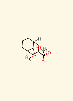 COC1(OC)[C@@H]2CCC[C@H]1C[C@@H](C(=O)O)C2